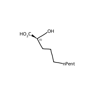 CCCCCCCC[C@H](O)C(=O)O